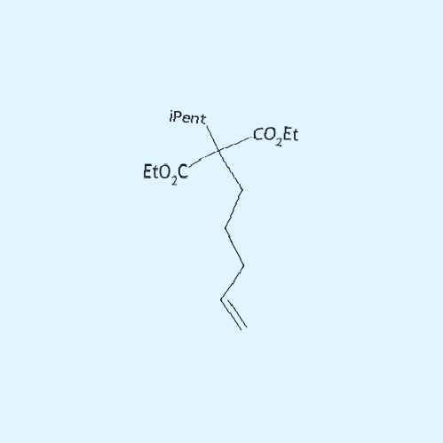 C=CCCCC(C(=O)OCC)(C(=O)OCC)C(C)CCC